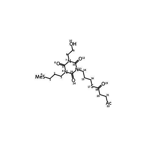 CSCCCn1c(=O)n(CCO)c(=O)n(CCCSC(=O)CCC(C)=O)c1=O